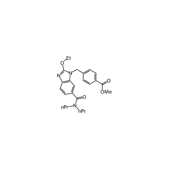 CCCN(CCC)C(=O)c1ccc2nc(OCC)n(Cc3ccc(C(=O)OC)cc3)c2c1